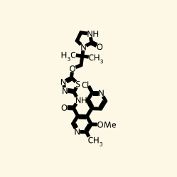 COc1c(C)ncc(C(=O)Nc2nnc(OCC(C)(C)N3CCNC3=O)s2)c1-c1ccnc(Cl)c1